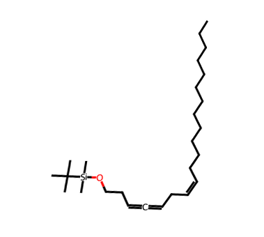 CCCCCCCCCCCC/C=C\CC=C=CCCO[Si](C)(C)C(C)(C)C